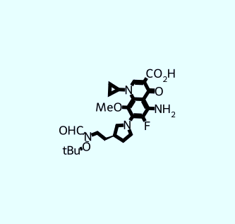 COc1c(N2CC[C@@H](CCN(C=O)OC(C)(C)C)C2)c(F)c(N)c2c(=O)c(C(=O)O)cn(C3CC3)c12